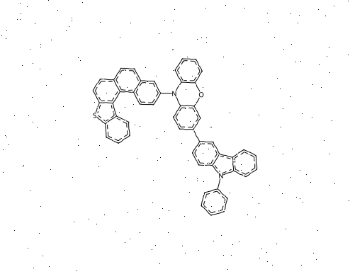 c1ccc(-n2c3ccccc3c3cc(-c4ccc5c(c4)Oc4ccccc4N5c4ccc5c(ccc6ccc7sc8ccccc8c7c65)c4)ccc32)cc1